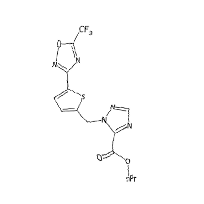 CCCOC(=O)c1ncnn1Cc1ccc(-c2noc(C(F)(F)F)n2)s1